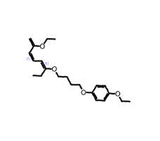 C=C(/C=C\C=C(/CC)OCCCCOc1ccc(OCC)cc1)OCC